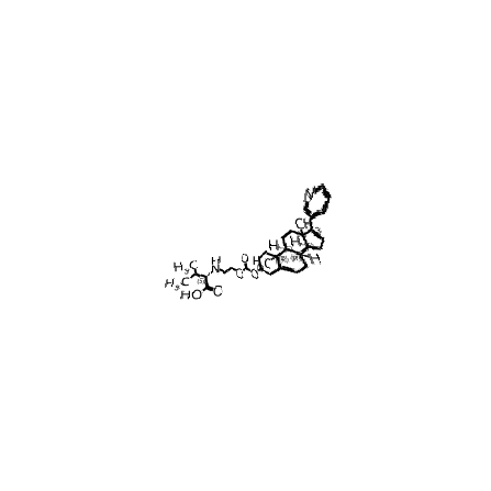 CC(C)[C@H](NCCOC(=O)O[C@H]1CC[C@@]2(C)C(=CC[C@@H]3[C@@H]2CC[C@]2(C)C(c4cccnc4)=CC[C@@H]32)C1)C(=O)O